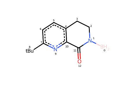 BN1CCc2ccc(C(C)(C)C)nc2C1=O